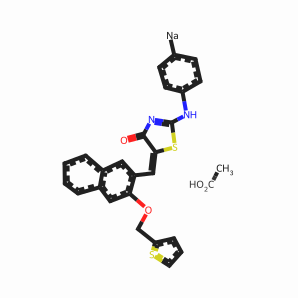 CC(=O)O.O=C1N=C(Nc2cc[c]([Na])cc2)SC1=Cc1cc2ccccc2cc1OCc1cccs1